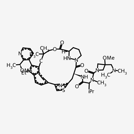 CCn1c(-c2cccnc2[C@H](C)OC)c2c3cc(ccc31)-c1csc(n1)C[C@H](NC(=O)C(C(C)C)N(C)C(=O)N1CC(CN(C)C)(OC)C1)C(=O)N1CCC[C@H](N1)C(=O)OCC(C)(C)C2